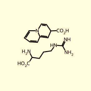 N=C(N)NCCCC(N)C(=O)O.O=C(O)C1C=CN2C=CC=CC2=C1